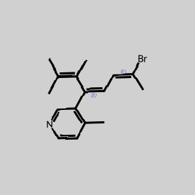 CC(C)=C(C)/C(=C\C=C(/C)Br)c1cnccc1C